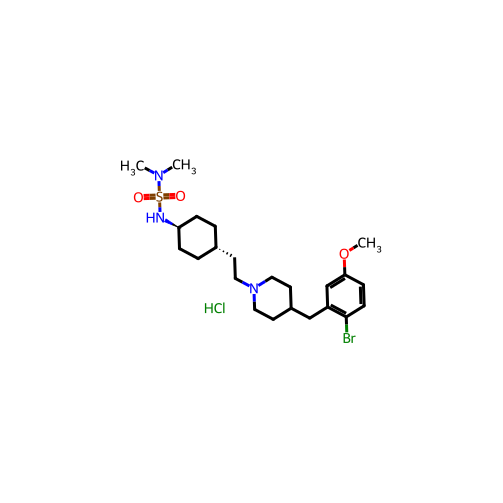 COc1ccc(Br)c(CC2CCN(CC[C@H]3CC[C@H](NS(=O)(=O)N(C)C)CC3)CC2)c1.Cl